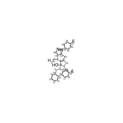 CC1C2=C(CCC2(O)CCc2ccccc2-c2ccc(F)nc2)Cc2c1cnn2-c1ccc(F)cc1